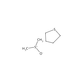 C1CCSC1.C[S+](C)[O-]